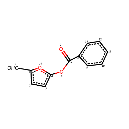 O=Cc1ccc(OC(=O)c2ccccc2)o1